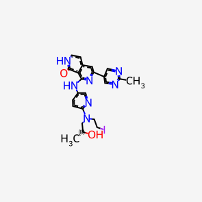 Cc1ncc(-c2cc3cc[nH]c(=O)c3c(Nc3ccc(N(CCI)C[C@@H](C)O)nc3)n2)cn1